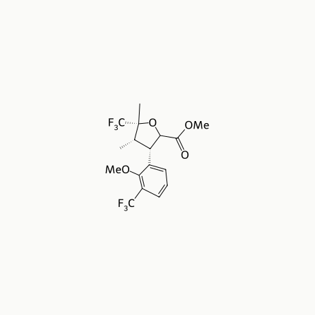 COC(=O)C1O[C@@](C)(C(F)(F)F)[C@@H](C)[C@H]1c1cccc(C(F)(F)F)c1OC